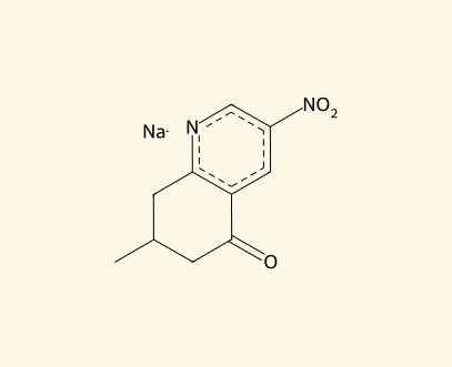 CC1CC(=O)c2cc([N+](=O)[O-])cnc2C1.[Na]